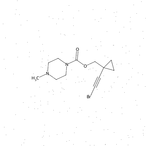 CN1CCN(C(=O)OCC2(C#CBr)CC2)CC1